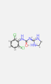 O=C(N=C1NCCN1)Nc1c(Cl)cccc1Cl